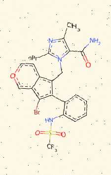 CCCc1nc(C)c(C(N)=O)n1Cc1c2ccocc-2c(Br)c1-c1ccccc1NS(=O)(=O)C(F)(F)F